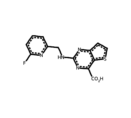 O=C(O)c1nc(NCc2cccc(F)n2)nc2ccsc12